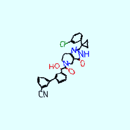 N#Cc1cccc(-c2cccc([C@@H](O)C(=O)N3CCCc4nc(C5(c6cccc(Cl)c6)CC5)[nH]c(=O)c4C3)c2)c1